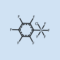 Fc1c(F)c(F)c(S(F)(F)(F)(F)Cl)c(F)c1F